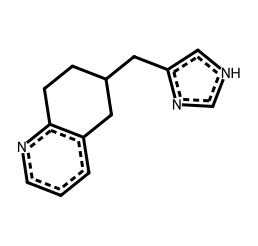 c1cnc2c(c1)CC(Cc1c[nH]cn1)CC2